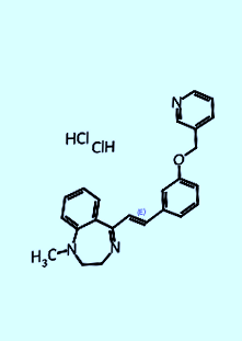 CN1CCN=C(/C=C/c2cccc(OCc3cccnc3)c2)c2ccccc21.Cl.Cl